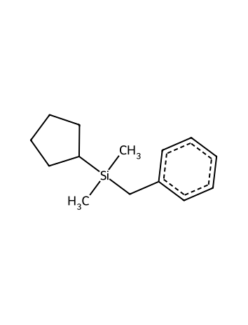 C[Si](C)(Cc1ccccc1)C1CCCC1